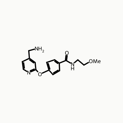 COCCNC(=O)c1ccc(Oc2cc(CN)ccn2)cc1